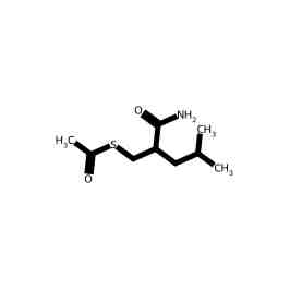 CC(=O)SCC(CC(C)C)C(N)=O